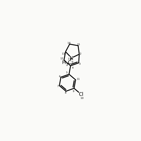 CN1C2C=C(c3cccc(Cl)c3)CC1CC2